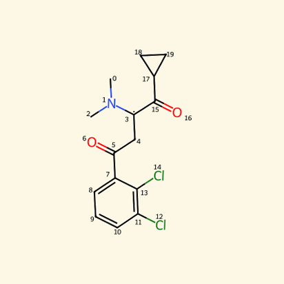 CN(C)[C](CC(=O)c1cccc(Cl)c1Cl)C(=O)C1CC1